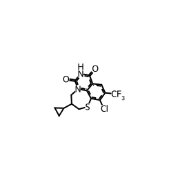 O=c1[nH]c(=O)n2c3c(c(Cl)c(C(F)(F)F)cc13)SCC(C1CC1)C2